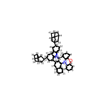 c1ccc2c(c1)Oc1cccc3c1N2c1c2c(cc4ccccc14)-c1cc(C4CC56C7CC4C5CC6C7)cc4c5cc(C67CC8CC9CC(C6)C98C7)ccc5n(c14)B32